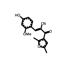 COc1cc(O)ccc1/C=C(\C#N)C(=O)c1cc(C)oc1C